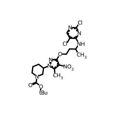 Cc1c([N+](=O)[O-])c(OCCC(C)Nc2nc(Cl)ncc2Cl)nn1C1CCCN(C(=O)OC(C)(C)C)C1